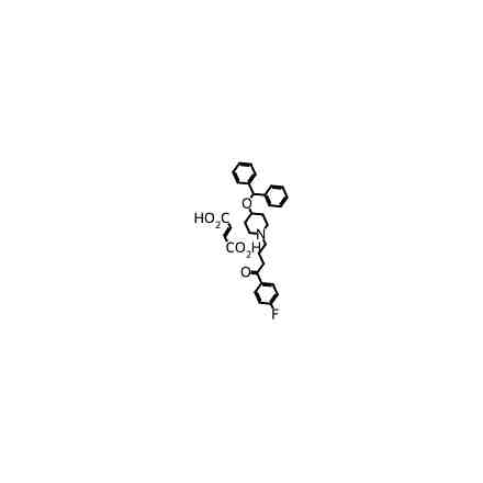 O=C(CCCN1CCC(OC(c2ccccc2)c2ccccc2)CC1)c1ccc(F)cc1.O=C(O)C=CC(=O)O